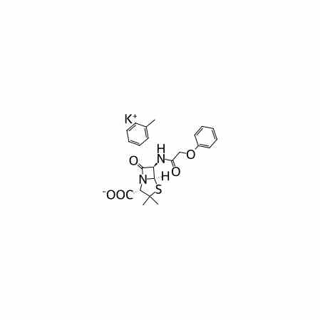 CC1(C)S[C@@H]2[C@H](NC(=O)COc3ccccc3)C(=O)N2[C@H]1C(=O)[O-].Cc1ccccc1.[K+]